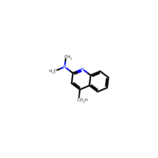 CN(C)c1cc(C(=O)O)c2ccccc2n1